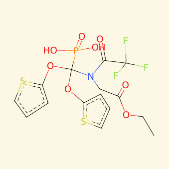 CCOC(=O)CN(C(=O)C(F)(F)F)C(Oc1cccs1)(Oc1cccs1)P(=O)(O)O